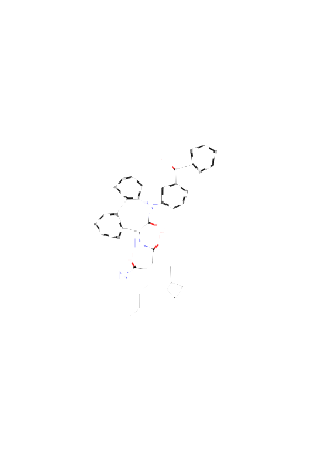 CCCC[C@H](C(N)=O)[C@@H](CC1CCC1)C(=O)NC1C(=O)N(c2cccc(C(=O)c3ccccc3)c2)c2ccccc2-c2ccccc21